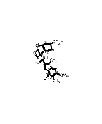 COc1cc2c(cc(C(=O)NC3(c4ccc(C(=O)O)cc4Cl)COC3)n2C)c(Cl)c1C